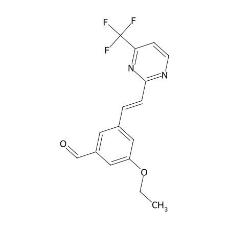 CCOc1cc(C=O)cc(/C=C/c2nccc(C(F)(F)F)n2)c1